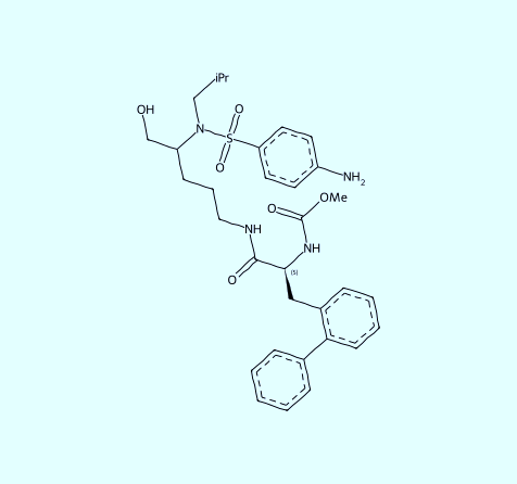 COC(=O)N[C@@H](Cc1ccccc1-c1ccccc1)C(=O)NCCCC(CO)N(CC(C)C)S(=O)(=O)c1ccc(N)cc1